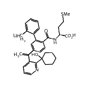 C=C(c1ccc(C(=O)N[C@@H](CCSC)C(=O)O)c(-c2ccccc2C)c1)c1cccnc1C1(O)CCCCC1.[LiH]